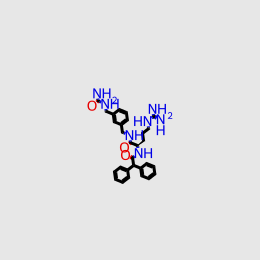 N=C(N)NCCC[C@@H](NC(=O)C(c1ccccc1)c1ccccc1)C(=O)NCc1cccc(CNC(N)=O)c1